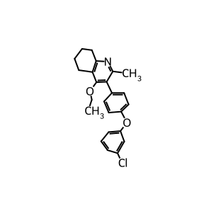 CCOc1c2c(nc(C)c1-c1ccc(Oc3cccc(Cl)c3)cc1)CCCC2